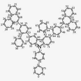 c1ccc(-c2ccc(-n3c4ccc(-c5ccc(-c6cc7ccccc7c7ccccc67)cc5-c5ccccc5)cc4c4cc(-c5ccc(-c6cc7ccccc7c7ccccc67)cc5-c5ccccc5)ccc43)cc2)cc1